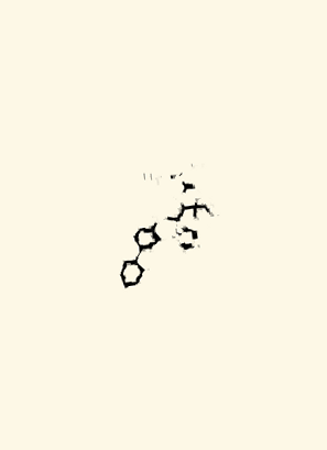 CON(C)C(=O)OC(C(Oc1ccc(-c2ccccc2)cc1)n1cncn1)C(C)(C)CBr